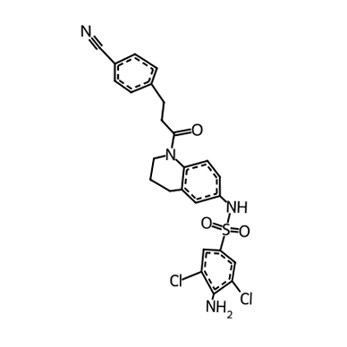 N#Cc1ccc(CCC(=O)N2CCCc3cc(NS(=O)(=O)c4cc(Cl)c(N)c(Cl)c4)ccc32)cc1